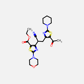 CCOC(=O)c1sc(N2CCOCC2)nc1C(C#N)Cc1nc(N2CCCCC2)sc1C(C)=O